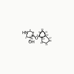 O[C@@H]1CNCC[C@H]1Oc1cccc2c1CCCC2